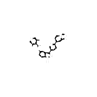 C[C@@H](Oc1ccc2[nH]nc(-c3ccc(-c4ccn5cnnc5c4)nc3)c2c1)c1c(Cl)cncc1Cl